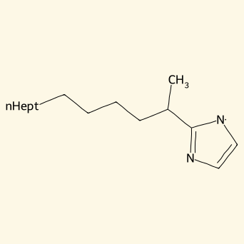 CCCCCCCCCCCC(C)C1=NC=C[N]1